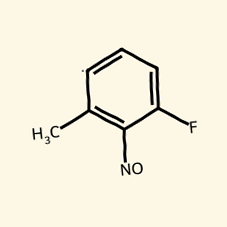 Cc1[c]ccc(F)c1N=O